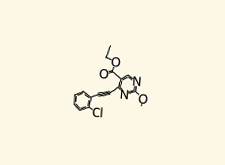 CCOC(=O)c1cnc(OC)nc1C#Cc1ccccc1Cl